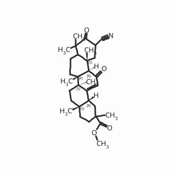 COC(=O)C1(C)CC[C@]2(C)CC[C@]3(C)C(=CC(=O)[C@@H]4[C@@]5(C)CC(C#N)C(=O)C(C)(C)C5CC[C@]43C)[C@@H]2C1